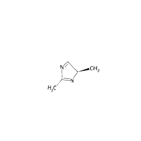 CC1=N[C@H](C)C=N1